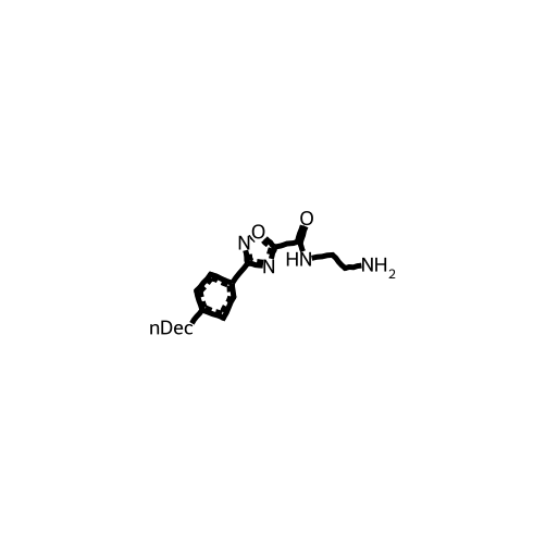 CCCCCCCCCCc1ccc(-c2noc(C(=O)NCCN)n2)cc1